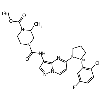 CC1CN(C(=O)Nc2cnn3ccc(N4CCC[C@@H]4c4cc(F)ccc4Cl)nc23)CCN1C(=O)OC(C)(C)C